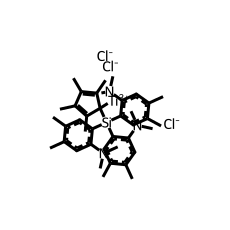 CC1=C(C)[C]([Ti+3])([Si](c2cc(C)c(C)cc2N(C)C)(c2cc(C)c(C)cc2N(C)C)c2cc(C)c(C)cc2N(C)C)C(C)=C1C.[Cl-].[Cl-].[Cl-]